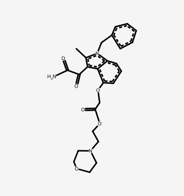 Cc1c(C(=O)C(N)=O)c2c(OCC(=O)OCCN3CCOCC3)cccc2n1Cc1ccccc1